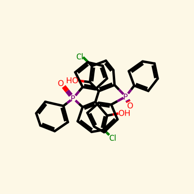 O=P(c1ccccc1)(c1ccccc1)c1ccc(Cl)c(O)c1-c1c(P(=O)(c2ccccc2)c2ccccc2)ccc(Cl)c1O